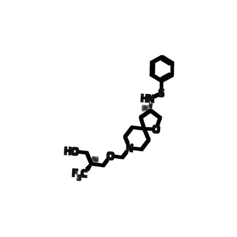 OC[C@@H](COCN1CCC2(CC1)C[C@H](NSc1ccccc1)CO2)C(F)(F)F